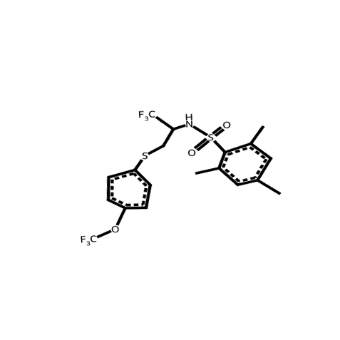 Cc1cc(C)c(S(=O)(=O)NC(CSc2ccc(OC(F)(F)F)cc2)C(F)(F)F)c(C)c1